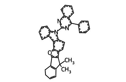 CC1(C)C2=C(CCC=C2)c2oc3c(ccc4c3c3ccccc3n4-c3nc(-c4ccccc4)c4ccccc4n3)c21